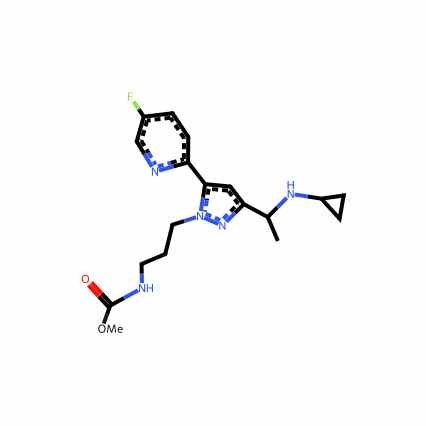 COC(=O)NCCCn1nc(C(C)NC2CC2)cc1-c1ccc(F)cn1